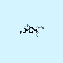 CC[C@@H]1CN(C(=O)OC(C)(C)C)[C@@H](C)CN1C(=O)CC(C)C